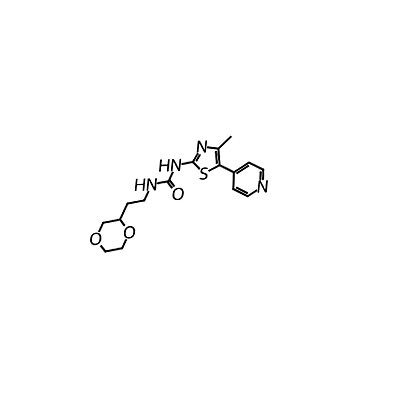 Cc1nc(NC(=O)NCCC2COCCO2)sc1-c1ccncc1